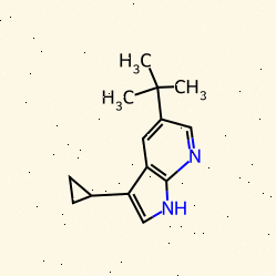 CC(C)(C)c1cnc2[nH]cc(C3CC3)c2c1